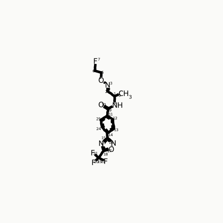 CC(/C=N/OCCF)NC(=O)c1ccc(-c2noc(C(F)(F)F)n2)cc1